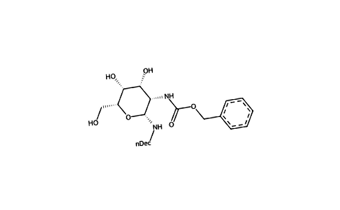 CCCCCCCCCCN[C@@H]1O[C@H](CO)[C@H](O)[C@H](O)[C@@H]1NC(=O)OCc1ccccc1